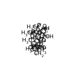 C=C1O[C@]23O[C@H]2[C@@H](C)[C@H]2[C@@H]([C@H](OC(C)=O)[C@H]4C5C(=O)C(O)=C6C[C@@H]7O[C@@H]7[C@H](OC(C)=O)[C@]6(C)C5[C@H](C)[C@H](OC(C)=O)[C@]24C)[C@@]3(C)[C@]1(C)O